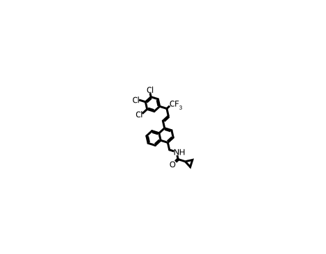 O=C(NCc1ccc(/C=C/C(c2cc(Cl)c(Cl)c(Cl)c2)C(F)(F)F)c2ccccc12)C1CC1